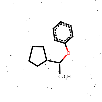 O=C(O)C(Oc1ccccc1)C1CCCC1